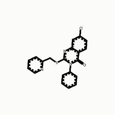 O=c1c2ccc(Cl)cc2nc(SCc2ccccn2)n1-c1ccccc1